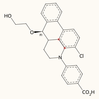 O=C(O)c1ccc(N2CCC([C@@H](OCCO)c3ccccc3-c3ccc(Cl)cc3)CC2)cc1